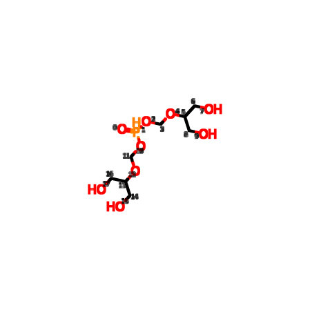 O=[PH](OCOC(CO)CO)OCOC(CO)CO